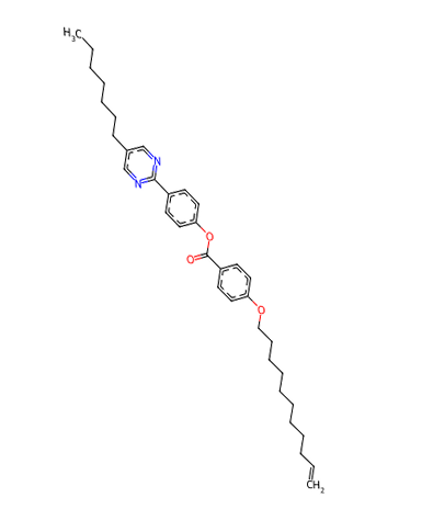 C=CCCCCCCCCCOc1ccc(C(=O)Oc2ccc(-c3ncc(CCCCCCC)cn3)cc2)cc1